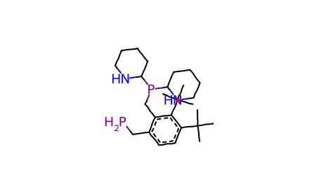 CC(C)(C)c1ccc(CP)c(CP(C2CCCCN2)C2CCCCN2)c1C(C)(C)C